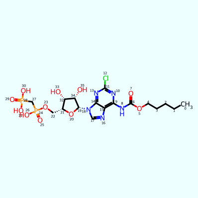 CCCCCOC(=O)Nc1nc(Cl)nc2c1ncn2[C@@H]1O[C@H](COP(=O)(O)CP(=O)(O)O)[C@H](O)[C@@H]1O